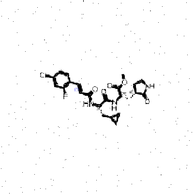 COC(=O)[C@H](C[C@@H]1CCNC1=O)NC(=O)[C@H](CC1CC1)NC(=O)/C=C/c1ccc(Cl)cc1F